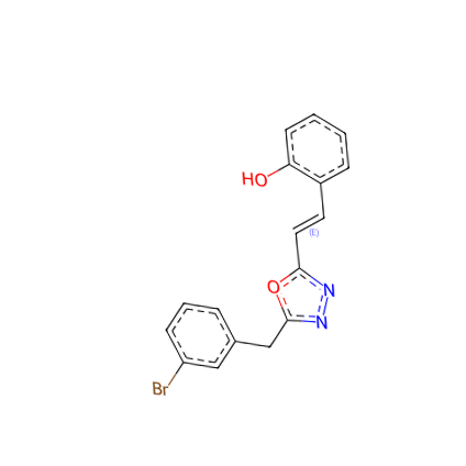 Oc1ccccc1/C=C/c1nnc(Cc2cccc(Br)c2)o1